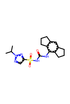 CC(C)n1ncc(S(=O)(=O)NC(=O)Nc2c3c(cc4c2CCC4)CCC3)n1